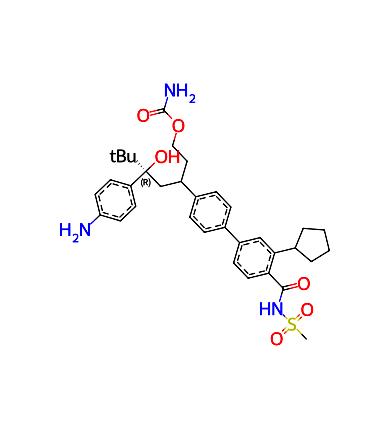 CC(C)(C)[C@](O)(CC(CCOC(N)=O)c1ccc(-c2ccc(C(=O)NS(C)(=O)=O)c(C3CCCC3)c2)cc1)c1ccc(N)cc1